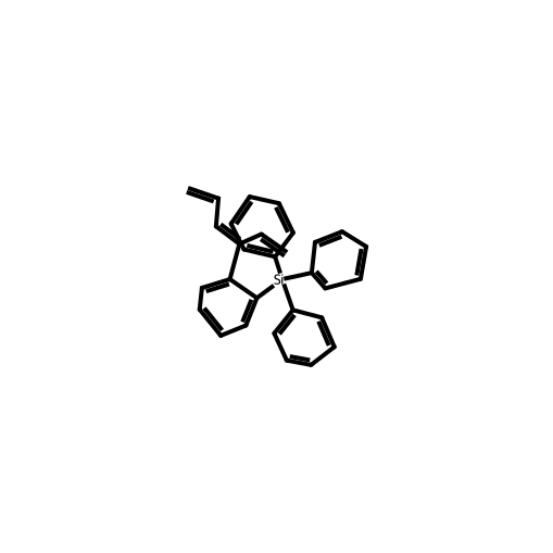 C=C/C=C(\C=C)c1ccccc1[Si](c1ccccc1)(c1ccccc1)c1ccccc1